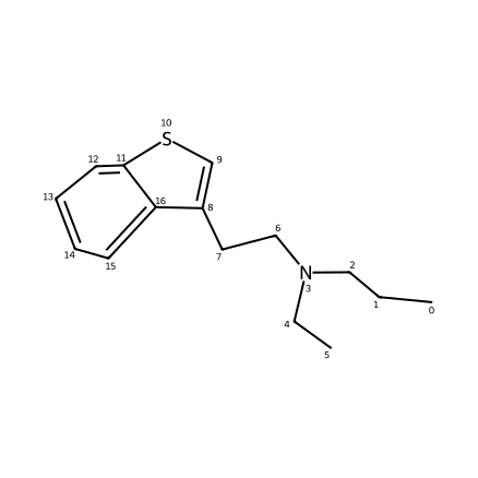 CCCN(CC)CCc1csc2ccccc12